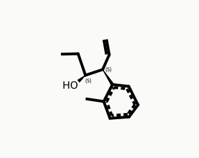 C=C[C@@H](c1ccccc1C)[C@@H](O)CC